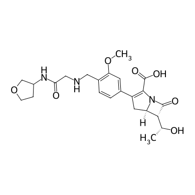 COc1cc(C2=C(C(=O)O)N3C(=O)[C@H]([C@@H](C)O)[C@H]3C2)ccc1CNCC(=O)NC1CCOC1